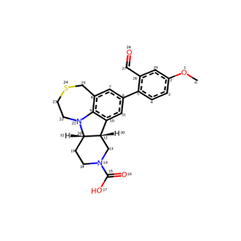 COc1ccc(-c2cc3c4c(c2)[C@@H]2CN(C(=O)O)CC[C@@H]2N4CCSC3)c(C=O)c1